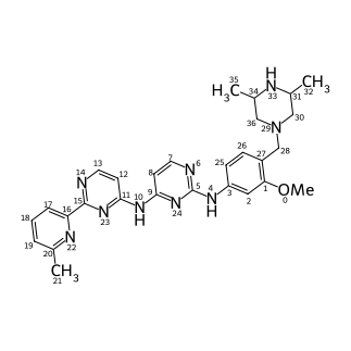 COc1cc(Nc2nccc(Nc3ccnc(-c4cccc(C)n4)n3)n2)ccc1CN1CC(C)NC(C)C1